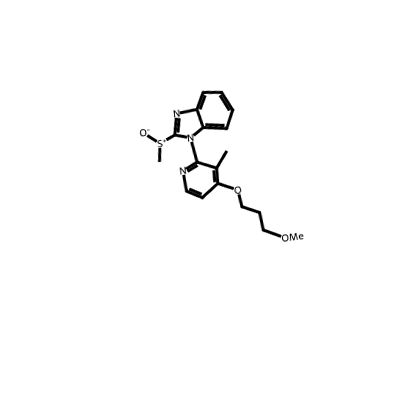 COCCCOc1ccnc(-n2c([S+](C)[O-])nc3ccccc32)c1C